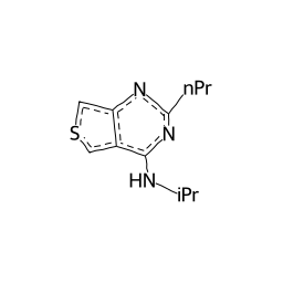 CCCc1nc(NC(C)C)c2cscc2n1